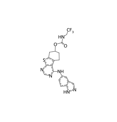 O=C(NCC(F)(F)F)OC1CCc2c(sc3ncnc(Nc4ccc5[nH]ncc5c4)c23)C1